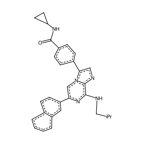 CC(C)CNc1nc(-c2ccc3ccccc3c2)cn2c(-c3ccc(C(=O)NC4CC4)cc3)cnc12